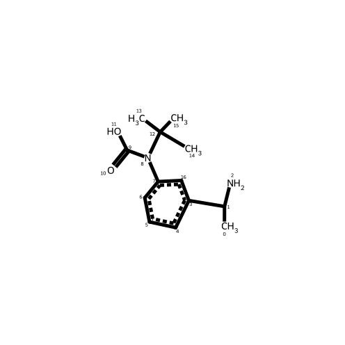 CC(N)c1cccc(N(C(=O)O)C(C)(C)C)c1